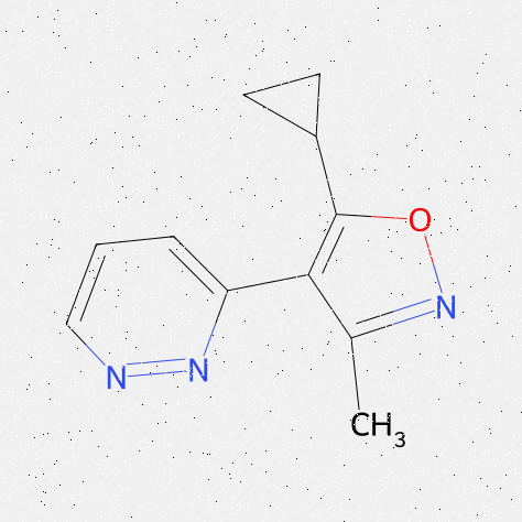 Cc1noc(C2CC2)c1-c1cccnn1